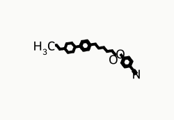 CCCC1CCC(c2ccc(CCCCCC(=O)Oc3ccc(C#N)cc3)cc2)CC1